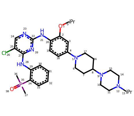 CC(C)Oc1cc(N2CCC(N3CCN(C(C)C)CC3)CC2)ccc1Nc1ncc(Cl)c(Nc2ccccc2P(C)(C)=O)n1